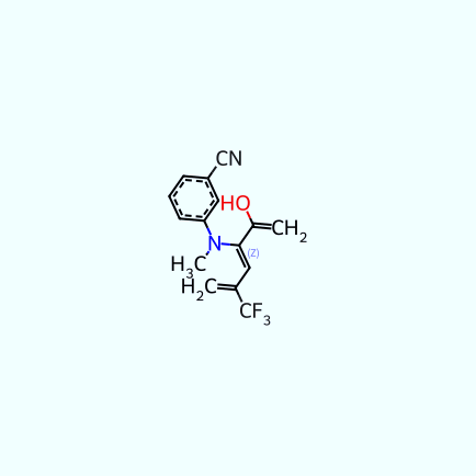 C=C(O)/C(=C/C(=C)C(F)(F)F)N(C)c1cccc(C#N)c1